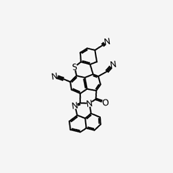 N#Cc1cc2c3c4c1SC1=C(CC(C#N)C=C1)c4c(C#N)cc3c(=O)n1c3cccc4cccc(nc21)c43